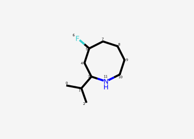 CC(C)C1CC(F)CCCCN1